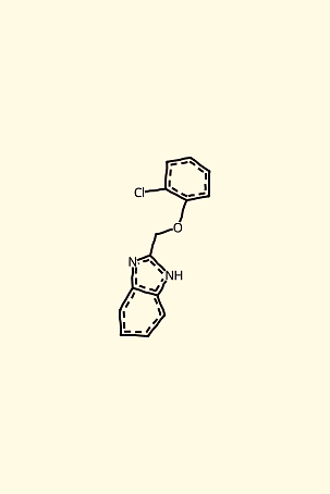 Clc1ccccc1OCc1nc2ccccc2[nH]1